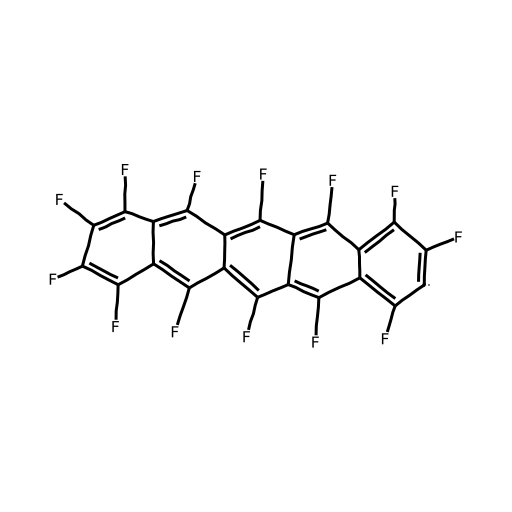 Fc1[c]c(F)c2c(F)c3c(F)c4c(F)c5c(F)c(F)c(F)c(F)c5c(F)c4c(F)c3c(F)c2c1F